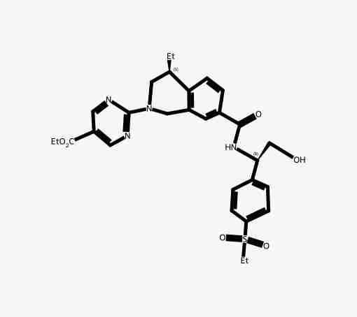 CCOC(=O)c1cnc(N2Cc3cc(C(=O)N[C@@H](CO)c4ccc(S(=O)(=O)CC)cc4)ccc3[C@H](CC)C2)nc1